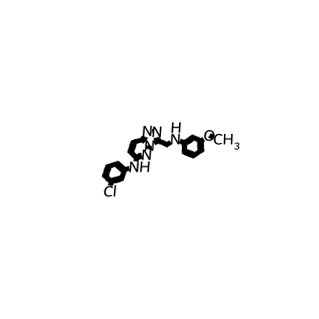 COc1cccc(NCc2nnc3ccc(Nc4cccc(Cl)c4)nn23)c1